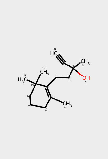 C#CC(C)(O)CCC1=C(C)CCCC1(C)C